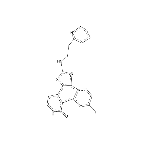 O=c1[nH]ccc2c3sc(NCCc4ccccn4)nc3c3ccc(F)cc3c12